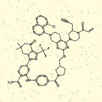 C=CC(=O)N1CCN(c2nc(OCC3CCN(C(=O)c4ccc(Nc5cc(-n6nc(C(F)(F)F)c7c6CC(C)(C)CC7=O)ccc5C(N)=O)cc4)C3)nc3c2CCN(c2cccc4cccc(Cl)c24)C3)CC1CC#N